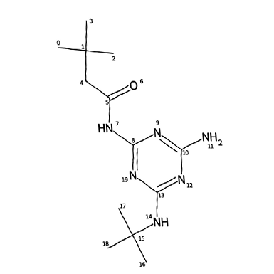 CC(C)(C)CC(=O)Nc1nc(N)nc(NC(C)(C)C)n1